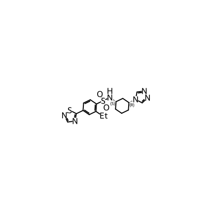 CCc1cc(-c2ncns2)ccc1S(=O)(=O)N[C@H]1CCC[C@@H](n2cnnc2)C1